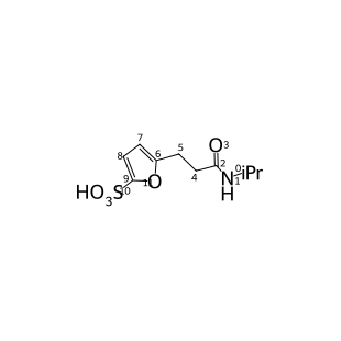 CC(C)NC(=O)CCc1ccc(S(=O)(=O)O)o1